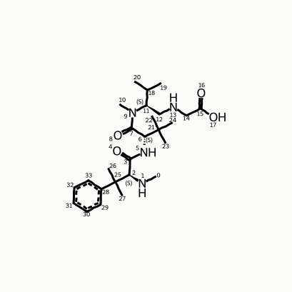 CN[C@H](C(=O)N[C@H](C(=O)N(C)[C@H](CNCC(=O)O)C(C)C)C(C)(C)C)C(C)(C)c1ccccc1